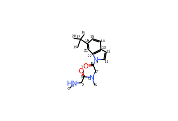 CNCC(=O)N(C)CC(=O)n1ccc2ccc(C(C)(C)C)cc21